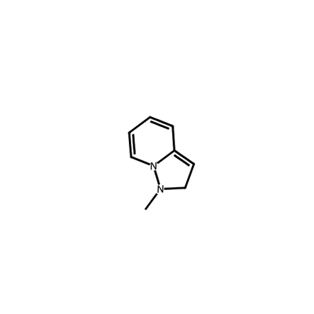 CN1CC=C2C=CC=CN21